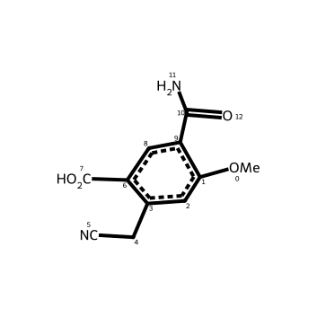 COc1cc(CC#N)c(C(=O)O)cc1C(N)=O